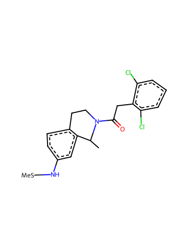 CSNc1ccc2c(c1)C(C)N(C(=O)Cc1c(Cl)cccc1Cl)CC2